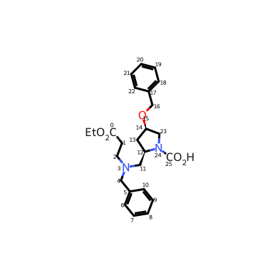 CCOC(=O)CCN(Cc1ccccc1)C[C@H]1C[C@@H](OCc2ccccc2)CN1C(=O)O